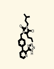 CCCc1c(Cl)n(CCC(C)C)c(=O)n1Cc1ccc(-c2cccnc2-c2nnn[nH]2)cc1